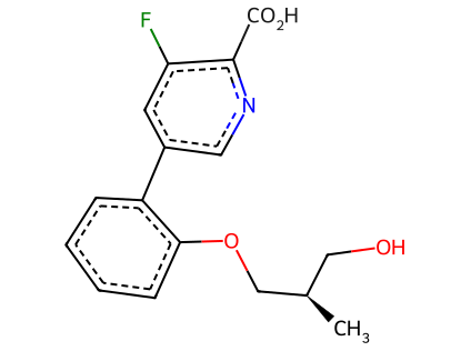 C[C@H](CO)COc1ccccc1-c1cnc(C(=O)O)c(F)c1